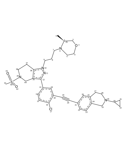 C[C@H]1COCCN1CCCn1nc(-c2ccc(Cl)c(C#Cc3ccc4c(c3)CCN(C3CC3)C4)c2)c2c1CCN(S(C)(=O)=O)C2